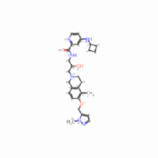 Cc1c(OCc2ccnn2C)ccc2c1CCN(CC(O)CNC(=O)c1cc(NC3CCC3)ccn1)C2